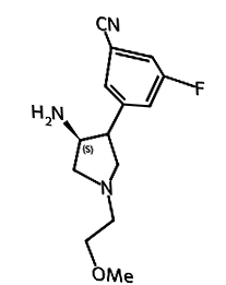 COCCN1CC(c2cc(F)cc(C#N)c2)[C@H](N)C1